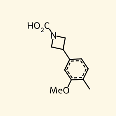 COc1cc(C2CN(C(=O)O)C2)ccc1C